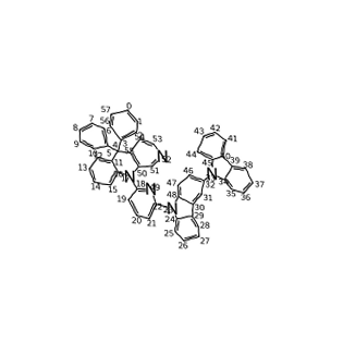 c1ccc(C2(c3ccccc3)c3ccccc3N(c3cccc(-n4c5ccccc5c5cc(-n6c7ccccc7c7ccccc76)ccc54)n3)c3cnccc32)cc1